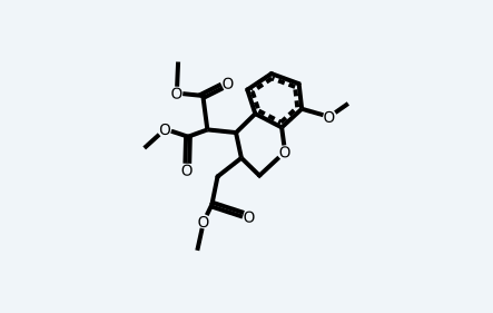 COC(=O)CC1COc2c(OC)cccc2C1C(C(=O)OC)C(=O)OC